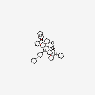 c1ccc(-c2ccc(N3c4ccccc4C4(c5cc(N(c6ccccc6)c6ccccc6)ccc5Oc5ccc(N(c6ccccc6)c6ccccc6)cc54)c4cc(-c5ccccc5)ccc43)cc2)cc1